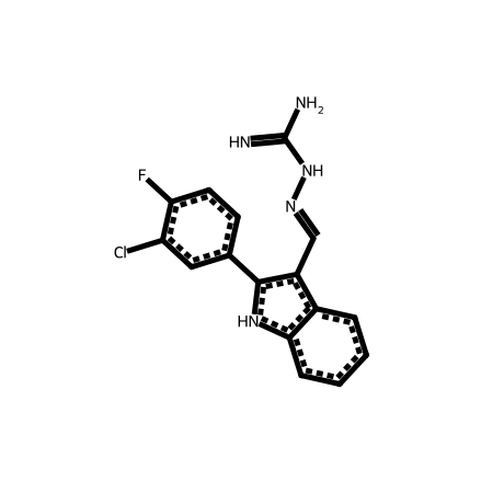 N=C(N)NN=Cc1c(-c2ccc(F)c(Cl)c2)[nH]c2ccccc12